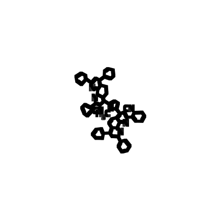 Cn1c(-c2c(C#N)c(-c3ccccc3)nc3c2ccc2c(-c4ccccc4)cc(-c4ccccc4)nc23)ccc1-c1c(C#N)c(-c2ccccc2)nc2c1ccc1c(-c3ccccc3)cc(-c3ccccc3)nc12